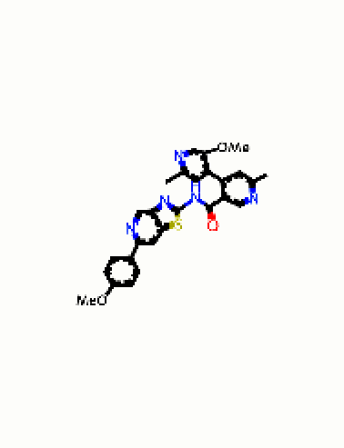 COc1ccc(-c2cc3sc(NC(=O)c4cnc(C)cc4-c4cc(C)ncc4OC)nc3cn2)cc1